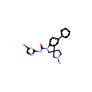 CC(=O)N1CCC2(C1)CN(C(=O)Nc1ncc(Cl)s1)c1ccc(-c3ccccc3)cc12